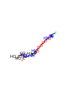 O=C(O)CC[C@H](NC(=O)N[C@H](CCCCNc1nc(-c2cccc(NC(=O)CCOCCOCCOCCOCCNC(=O)Cn3cc(CCCF)nn3)c2)cs1)C(=O)O)C(=O)O